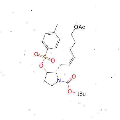 CC(=O)OCCC/C=C\C[C@H]1[C@@H](OS(=O)(=O)c2ccc(C)cc2)CCN1C(=O)OC(C)(C)C